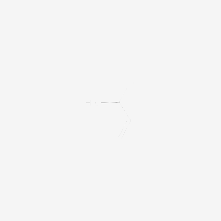 [C]=CC(C)CC